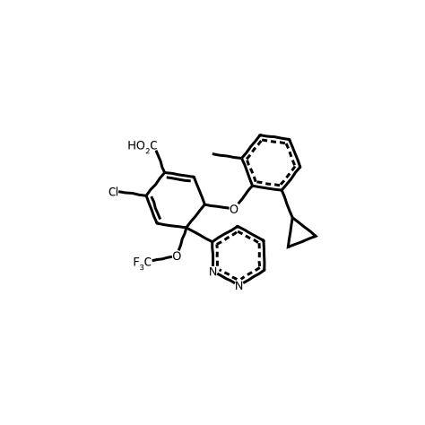 Cc1cccc(C2CC2)c1OC1C=C(C(=O)O)C(Cl)=CC1(OC(F)(F)F)c1cccnn1